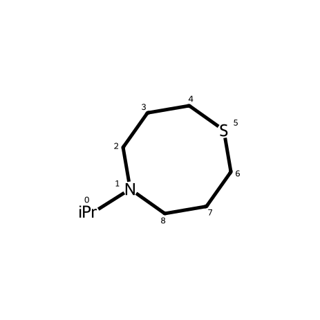 CC(C)N1CCCSCCC1